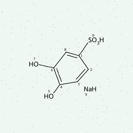 O=S(=O)(O)c1ccc(O)c(O)c1.[NaH]